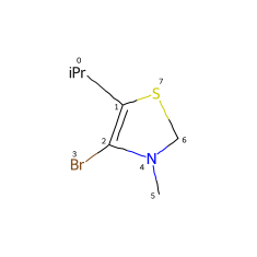 CC(C)C1=C(Br)N(C)CS1